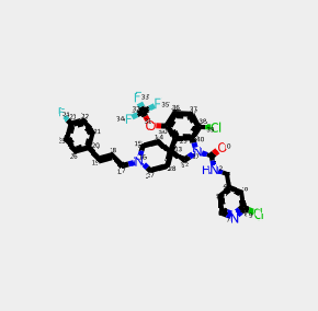 O=C(NCc1ccnc(Cl)c1)N1CC2(CCN(CC=Cc3ccc(F)cc3)CC2)c2c(OC(F)(F)F)ccc(Cl)c21